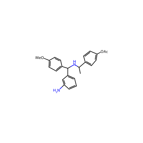 COc1ccc(C(NC(C)c2ccc(OC(C)=O)cc2)c2cccc(N)c2)cc1